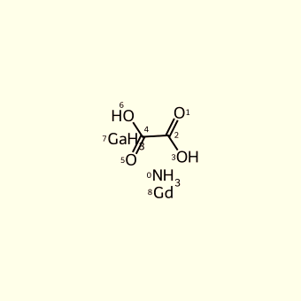 N.O=C(O)C(=O)O.[GaH3].[Gd]